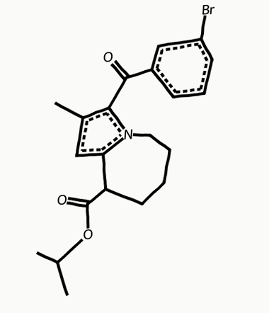 Cc1cc2n(c1C(=O)c1cccc(Br)c1)CCCCC2C(=O)OC(C)C